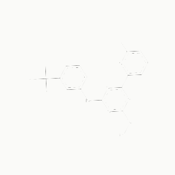 CC(C)Nc1nc(Nc2cccc(C(C)(C)O)c2)nc(-c2cccc(C(F)(F)F)n2)n1